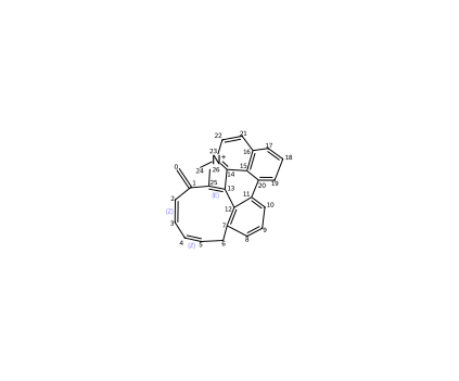 C=C1/C=C\C=C/Cc2cccc3c2/c(c2c4c(cccc34)cc[n+]2C)=C\1C